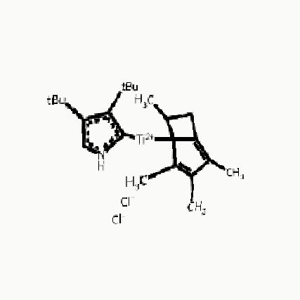 CC1=C(C)[C]2([Ti+2][c]3[nH]cc(C(C)(C)C)c3C(C)(C)C)C(=C1C)CC2C.[Cl-].[Cl-]